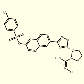 Cc1ccc(S(=O)(=O)Oc2ccc3cc(-c4noc([C@@H]5CCCN5/C(N)=N\Cl)n4)ccc3c2)cc1